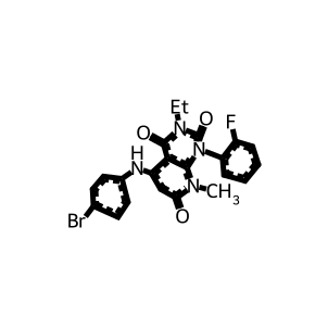 CCn1c(=O)c2c(Nc3ccc(Br)cc3)cc(=O)n(C)c2n(-c2ccccc2F)c1=O